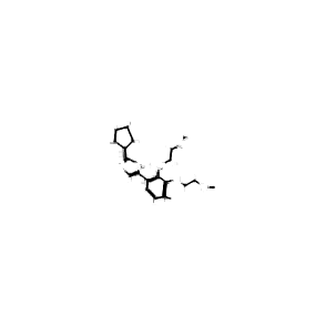 COCCOc1c(I)ccc(-c2cnc(C3CCCC3)[nH]2)c1OCCOC